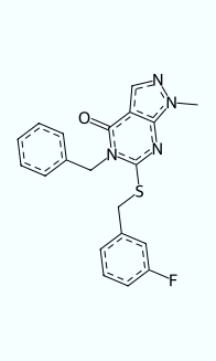 Cn1ncc2c(=O)n(Cc3ccccc3)c(SCc3cccc(F)c3)nc21